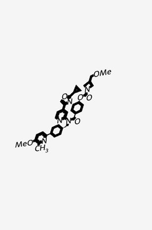 COCC1CN(C(=O)O[C@H]2CC[C@H](C(=O)N(C[C@H]3CC[C@H](c4ccc(OC)c(C)n4)CC3)c3cc(-c4coc(C5CC5)n4)ccn3)CC2)C1